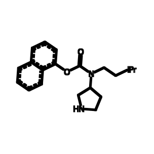 CC(C)CCN(C(=O)Oc1cccc2ccccc12)C1CCNC1